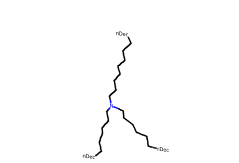 CCCCCCCCCCCCCCCCCCN(CCCCCCCCCCCCCCCC)CCCCCCCCCCCCCCCC